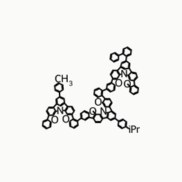 Cc1ccc(-c2cc3c4ccc5c6ccccc6oc5c4n4c3c(c2)c2ccc3c(oc5cccc(-c6ccc7oc8c(ccc9c%10cc(-c%11ccc(C(C)C)cc%11)cc%11c%12ccc%13c(oc%14cccc(-c%15ccc%16oc%17c(ccc%18c%19cc(-c%20ccccc%20-c%20ccccc%20)cc%20c%21ccc%22c%23ccccc%23oc%22c%21n(c%20%19)c%18%17)c%16c%15)c%14%13)c%12n(c%10%11)c98)c7c6)c53)c24)cc1